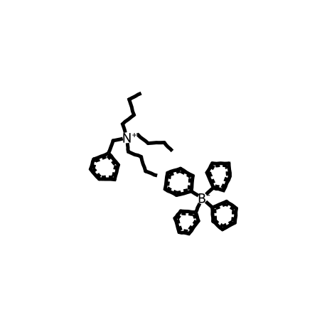 CCCC[N+](CCCC)(CCCC)Cc1ccccc1.c1ccc([B-](c2ccccc2)(c2ccccc2)c2ccccc2)cc1